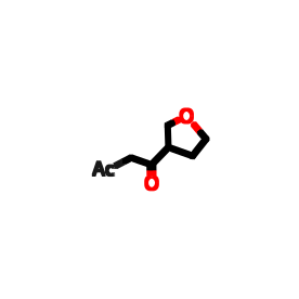 CC(=O)CC(=O)C1CCOC1